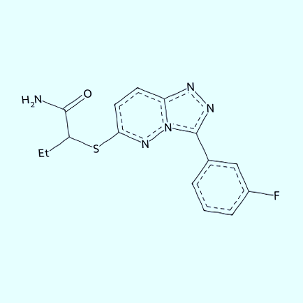 CCC(Sc1ccc2nnc(-c3cccc(F)c3)n2n1)C(N)=O